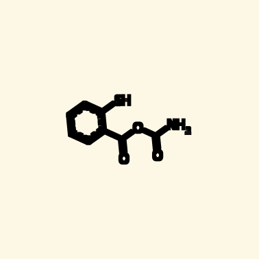 NC(=O)OC(=O)c1ccccc1S